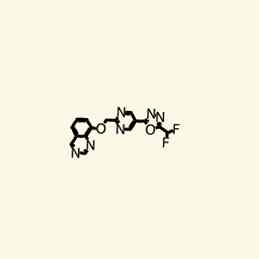 FC(F)c1nnc(-c2cnc(COc3cccc4cncnc34)nc2)o1